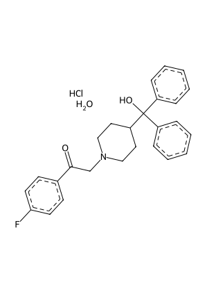 Cl.O.O=C(CN1CCC(C(O)(c2ccccc2)c2ccccc2)CC1)c1ccc(F)cc1